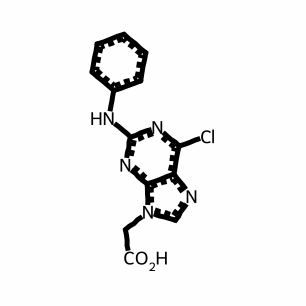 O=C(O)Cn1cnc2c(Cl)nc(Nc3ccccc3)nc21